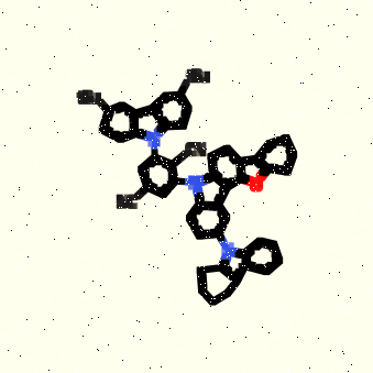 CC(C)(C)c1ccc2c(c1)c1cc(C(C)(C)C)ccc1n2-c1cc(C#N)cc(-n2c3ccc(-n4c5c(c6ccccc64)CCC=C5)cc3c3c4oc5ccccc5c4ccc32)c1C#N